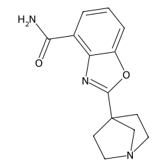 NC(=O)c1cccc2oc(C34CCN(CC3)C4)nc12